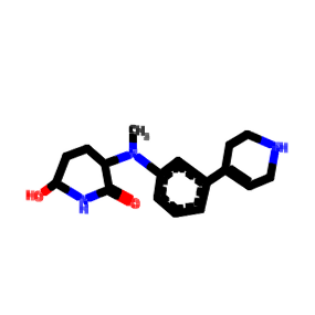 CN(c1cccc(C2=CCNCC2)c1)C1CCC(O)NC1=O